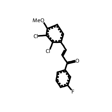 COc1ccc(C=CC(=O)c2cccc(F)c2)c(Cl)c1Cl